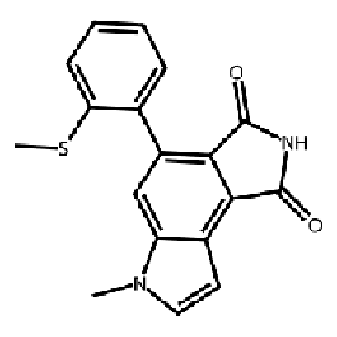 CSc1ccccc1-c1cc2c(ccn2C)c2c1C(=O)NC2=O